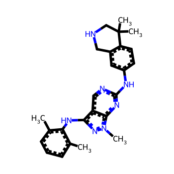 Cc1cccc(C)c1Nc1nn(C)c2nc(Nc3ccc4c(c3)CNCC4(C)C)ncc12